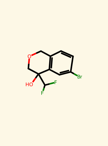 OC1(C(F)F)COCc2ccc(Br)cc21